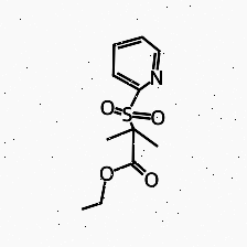 CCOC(=O)C(C)(C)S(=O)(=O)c1ccccn1